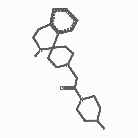 CC1CCN(C(=O)CN2CCC3(CC2)c2ccccc2CCN3C)CC1